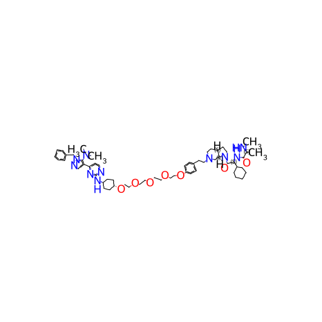 CN[C@@H](C)C(=O)N[C@H](C(=O)N1CC[C@@H]2CCN(CCc3ccc(OCCOCCOCCOCCO[C@H]4CC[C@H](Nc5nccc(-c6cnn(Cc7ccccc7)c6N(C)C)n5)CC4)cc3)C[C@@H]21)C1CCCCC1